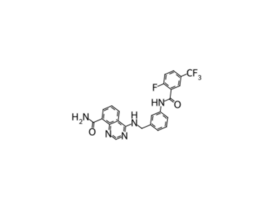 NC(=O)c1cccc2c(NCc3cccc(NC(=O)c4cc(C(F)(F)F)ccc4F)c3)ncnc12